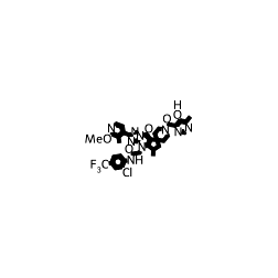 COc1nccc(-c2nc3n(CC(=O)Nc4ccc(C(F)(F)F)cc4Cl)c4c(c(=O)n3n2)C2(CCN(C(=O)c3ncnc(C)c3O)CC2)CC4C)c1C